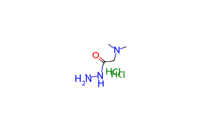 CN(C)CC(=O)NN.Cl.Cl